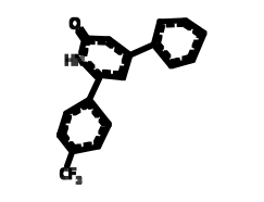 O=c1cc(-c2ccccc2)cc(-c2ccc(C(F)(F)F)cc2)[nH]1